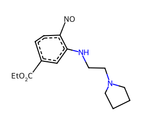 CCOC(=O)c1ccc(N=O)c(NCCN2CCCC2)c1